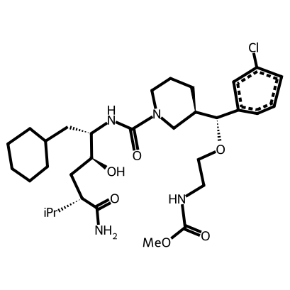 COC(=O)NCCO[C@@H](c1cccc(Cl)c1)[C@@H]1CCCN(C(=O)N[C@@H](CC2CCCCC2)[C@@H](O)C[C@H](C(N)=O)C(C)C)C1